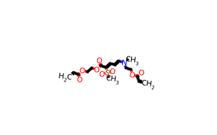 C=CC(=O)OCCOC(=O)/C(=C/C=C/N(C)CCOC(=O)C=C)S(C)(=O)=O